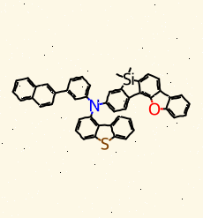 C[Si]1(C)c2cc(N(c3cccc(-c4ccc5ccccc5c4)c3)c3cccc4sc5ccccc5c34)ccc2-c2c1ccc1c2oc2ccccc21